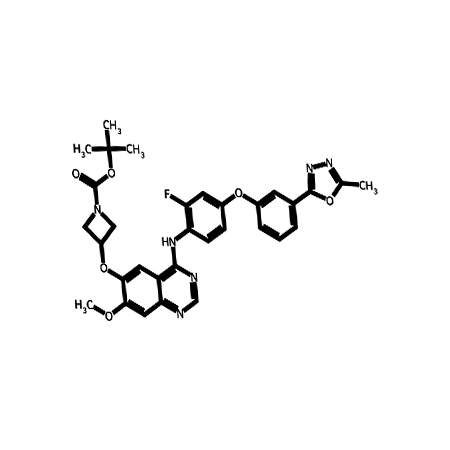 COc1cc2ncnc(Nc3ccc(Oc4cccc(-c5nnc(C)o5)c4)cc3F)c2cc1OC1CN(C(=O)OC(C)(C)C)C1